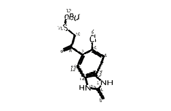 C=C1Nc2cc(Cl)c(C(=C)CSCCCC)cc2N1